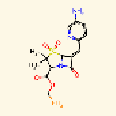 CC1(C)[C@H](C(=O)OCP)N2C(=O)/C(=C/c3ccc(N)cn3)C2S1(=O)=O